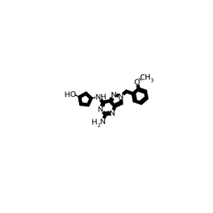 COc1ccccc1Cn1cc2nc(N)nc(N[C@@H]3CC[C@H](O)C3)c2n1